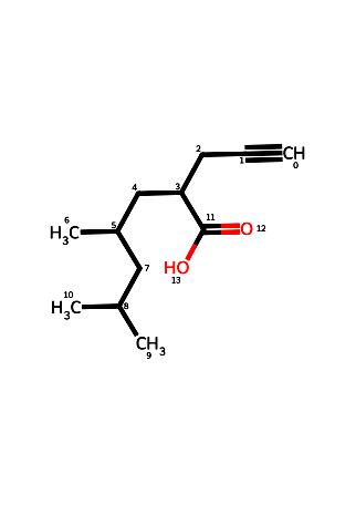 C#CCC(CC(C)CC(C)C)C(=O)O